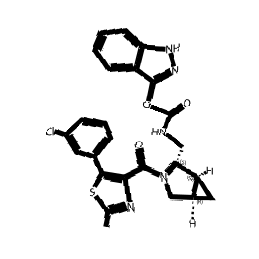 Cc1nc(C(=O)N2C[C@@H]3C[C@@H]3[C@H]2CNC(=O)Oc2n[nH]c3ccccc23)c(-c2cccc(Cl)c2)s1